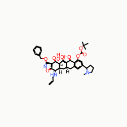 C=CCN[C@@H]1c2onc(OCc3ccccc3)c2C(=O)[C@@]2(O)C(O)=C3C(=O)c4c(cc(C5CCCN5C)cc4OC(=O)OC(C)(C)C)C[C@H]3C[C@@H]12